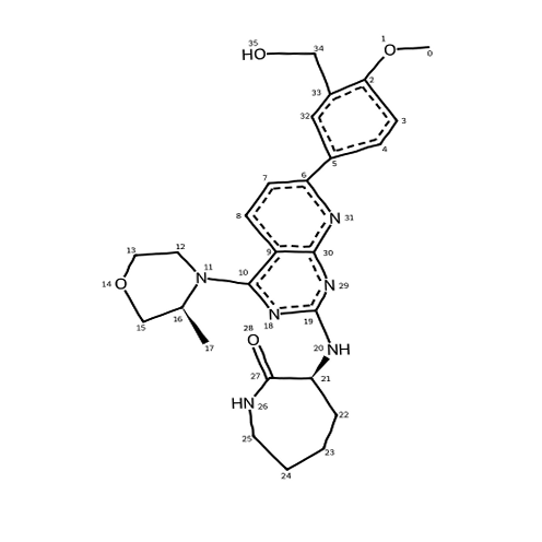 COc1ccc(-c2ccc3c(N4CCOC[C@@H]4C)nc(N[C@H]4CCCCNC4=O)nc3n2)cc1CO